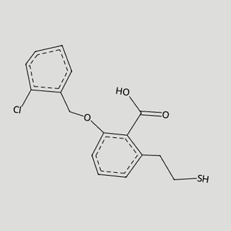 O=C(O)c1c(CCS)cccc1OCc1ccccc1Cl